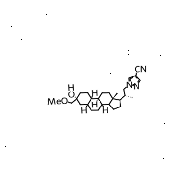 COC[C@@]1(O)CC[C@H]2[C@H](CC[C@H]3C4CC[C@H]([C@@H](C)Cn5cc(C#N)cn5)[C@@]4(C)CC[C@H]23)C1